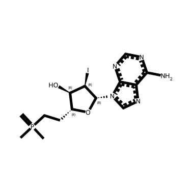 C=P(C)(C)CC[C@H]1O[C@@H](n2cnc3c(N)ncnc32)[C@H](I)[C@@H]1O